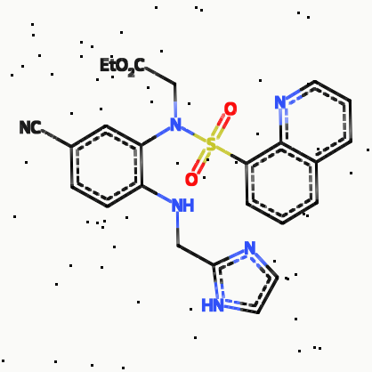 CCOC(=O)CN(c1cc(C#N)ccc1NCc1ncc[nH]1)S(=O)(=O)c1cccc2cccnc12